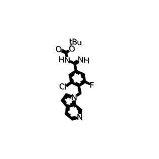 CC(C)(C)OC(=O)NC(=N)c1cc(F)c(Cn2ccc3ccncc32)c(Cl)c1